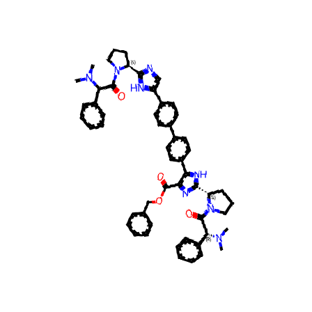 CN(C)C(C(=O)N1CCC[C@H]1c1ncc(-c2ccc(-c3ccc(-c4[nH]c([C@@H]5CCCN5C(=O)[C@@H](c5ccccc5)N(C)C)nc4C(=O)OCc4ccccc4)cc3)cc2)[nH]1)c1ccccc1